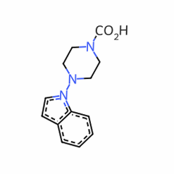 O=C(O)N1CCN(n2ccc3ccccc32)CC1